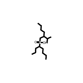 CCCCC(CP(=O)(O)C(CCC)CCCC)C(C)C